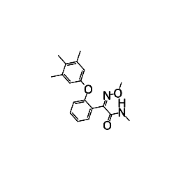 CNC(=O)/C(=N\OC)c1ccccc1Oc1cc(C)c(C)c(C)c1